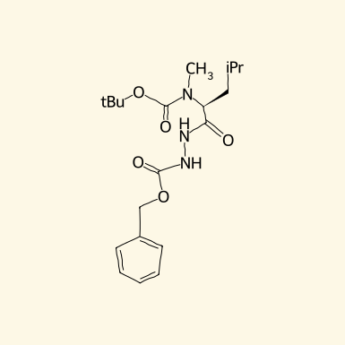 CC(C)C[C@@H](C(=O)NNC(=O)OCc1ccccc1)N(C)C(=O)OC(C)(C)C